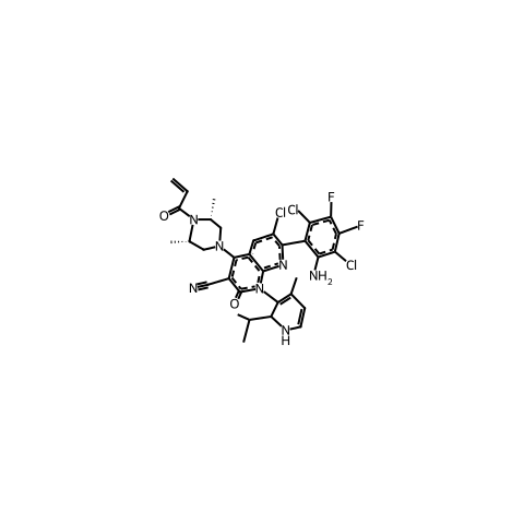 C=CC(=O)N1[C@H](C)CN(c2c(C#N)c(=O)n(C3=C(C)C=CNC3C(C)C)c3nc(-c4c(N)c(Cl)c(F)c(F)c4Cl)c(Cl)cc23)C[C@@H]1C